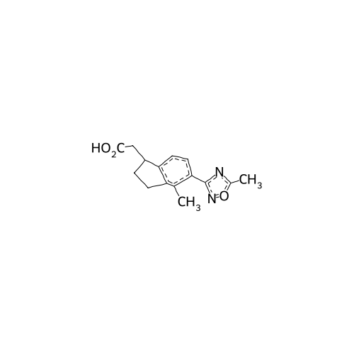 Cc1nc(-c2ccc3c(c2C)CCC3CC(=O)O)no1